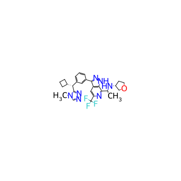 C[C@H](N[C@@H]1CCOC1)c1nc(C(F)(F)F)cc2c(-c3cccc([C@H](c4nncn4C)C4CCC4)c3)n[nH]c12